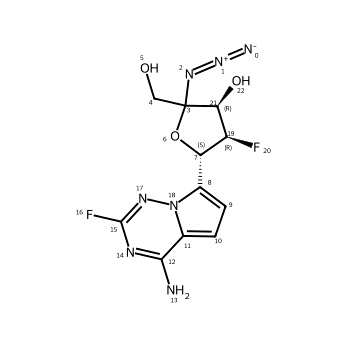 [N-]=[N+]=NC1(CO)O[C@@H](c2ccc3c(N)nc(F)nn23)[C@H](F)[C@@H]1O